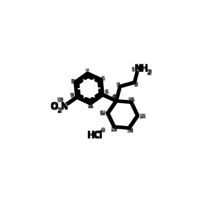 Cl.NCCC1(c2cccc([N+](=O)[O-])c2)CCCCC1